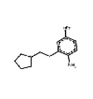 CCCc1ccc(N)c(CCC2CCCC2)c1